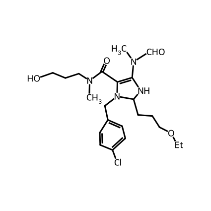 CCOCCCC1NC(N(C)C=O)=C(C(=O)N(C)CCCO)N1Cc1ccc(Cl)cc1